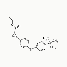 CC(C)(C)c1ccc(Sc2ccc(C3CC3C(=O)OCI)cc2)cc1